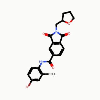 O=C(Nc1ccc(Br)cc1C(=O)O)c1ccc2c(c1)C(=O)N(CC1CCCO1)C2=O